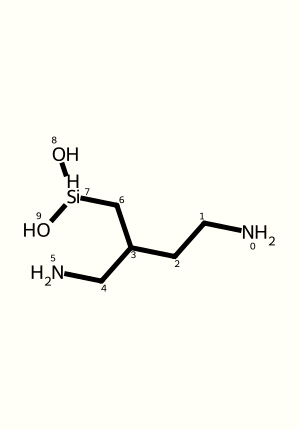 NCCC(CN)C[SiH](O)O